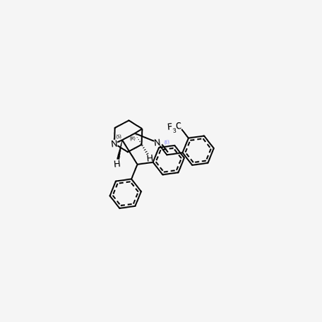 FC(F)(F)c1ccccc1/C=N/[C@@H]1C2CCN(CC2)[C@H]1C(c1ccccc1)c1ccccc1